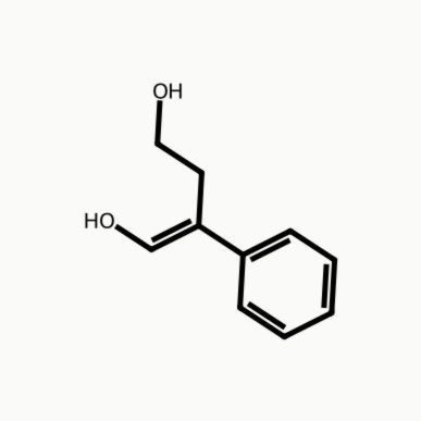 OC=C(CCO)c1ccccc1